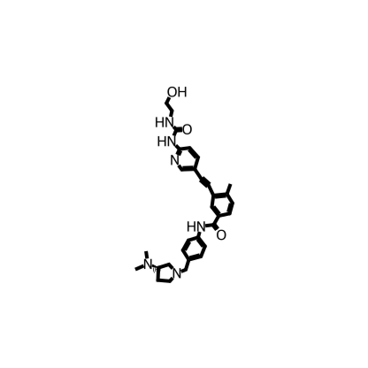 Cc1ccc(C(=O)Nc2ccc(CN3CC[C@@H](N(C)C)C3)cc2)cc1C#Cc1ccc(NC(=O)NCCO)nc1